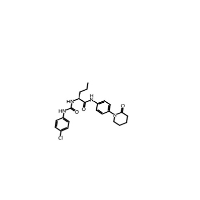 CCC[C@H](NC(=O)Nc1ccc(Cl)cc1)C(=O)Nc1ccc(N2CCCCC2=O)cc1